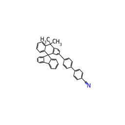 CC1(C)c2ccccc2C2(c3ccccc3-c3ccccc32)c2cc(-c3ccc(-c4ccc(C#N)cc4)cc3)ccc21